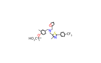 Cc1cc(CN(Cc2ccco2)Cc2sc(-c3ccc(C(F)(F)F)cc3)nc2C)ccc1OC(C)(C)C(=O)O